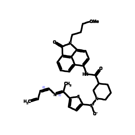 C=C/C=C\N=C(/C)c1ccc([S+]([O-])N2CCCC(C(=O)Nc3ccc4c5c(cccc35)C(=O)N4CCCOC)C2)s1